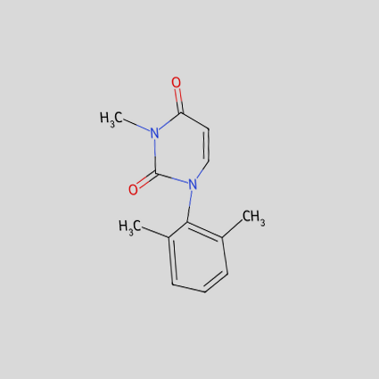 Cc1cccc(C)c1-n1ccc(=O)n(C)c1=O